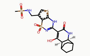 CS(=O)(=O)NCc1csc2c1S(=O)(=O)N=C(C1=C(O)[C@@H]3C4CCC(CC4)[C@@H]3NC1=O)N2